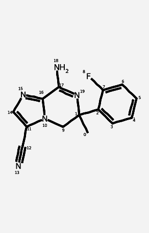 CC1(c2c[c]ccc2F)Cn2c(C#N)cnc2C(N)=N1